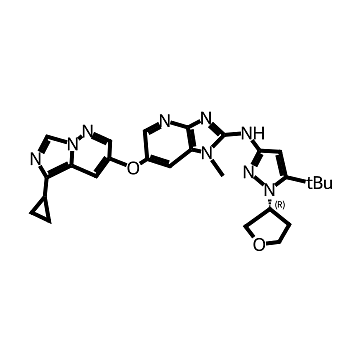 Cn1c(Nc2cc(C(C)(C)C)n([C@@H]3CCOC3)n2)nc2ncc(Oc3cnn4cnc(C5CC5)c4c3)cc21